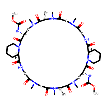 CC(C)[C@H]1C(=O)N(C)C[C@@H](NC(=O)OC(C)(C)C)C(=O)N2CCCC[C@H]2C(=O)NCC(=O)N(C)CC(=O)N(C)[C@@H](C(C)C)C(=O)N(C)C[C@@H](NC(=O)OC(C)(C)C)C(=O)N2CCCC[C@H]2C(=O)NCC(=O)N(C)CC(=O)N1C